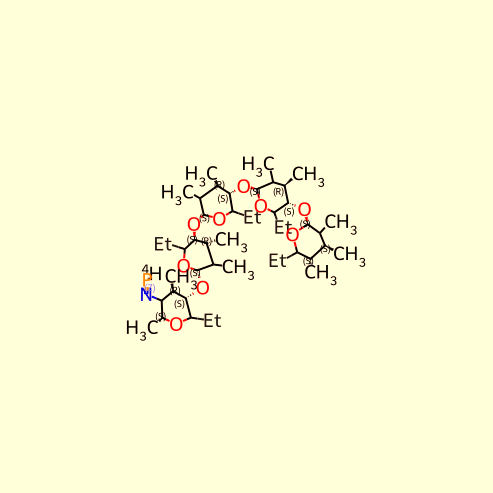 [4H]/P=N\C1[C@H](C)OC(CC)[C@@H](O[C@@H]2OC(CC)[C@@H](O[C@@H]3OC(CC)[C@@H](O[C@@H]4OC(CC)[C@@H](O[C@@H]5OC(CC)[C@@H](C)[C@H](C)C5C)[C@H](C)C4C)[C@H](C)C3C)[C@H](C)C2C)[C@@H]1C